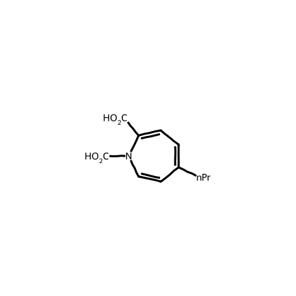 CCCC1=CC=C(C(=O)O)N(C(=O)O)C=C1